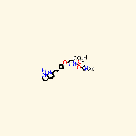 CC(=O)N1CC(OC(=O)NC(CCO[C@H]2C[C@H](CCc3ccc4c(n3)NCCC4)C2)C(=O)O)C1